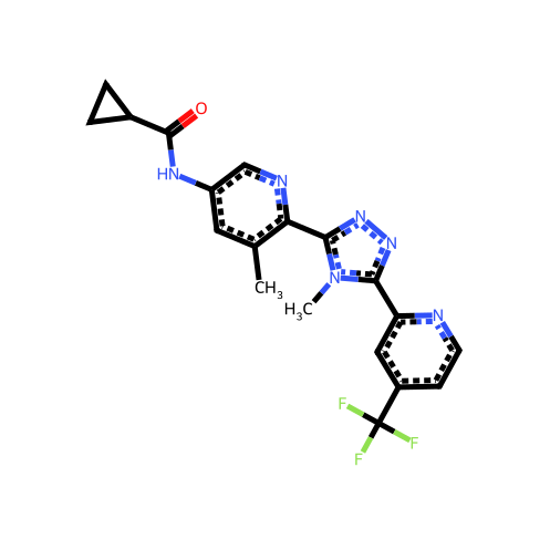 Cc1cc(NC(=O)C2CC2)cnc1-c1nnc(-c2cc(C(F)(F)F)ccn2)n1C